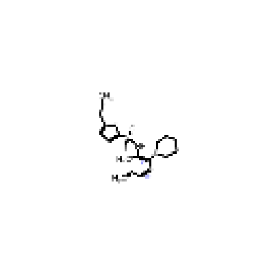 C=C/C=C\C(=C(/C)NS(=O)(=O)c1ccc(CCC)s1)N1CCCCC1